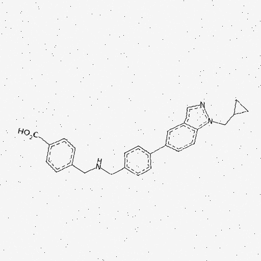 O=C(O)c1ccc(CNCc2ccc(-c3ccc4c(cnn4CC4CC4)c3)cc2)cc1